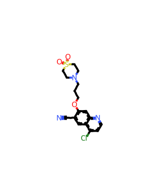 N#Cc1cc2c(Cl)ccnc2cc1OCCCN1CCS(=O)(=O)CC1